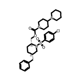 O=C(OC[C@H]1CC[C@@H](Cc2ccccc2)CN1S(=O)(=O)c1ccc(Cl)cc1)N1CCC(N2CCCCC2)CC1